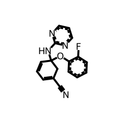 N#CC1=CC=CC(Nc2ncccn2)(Oc2ccccc2F)C1